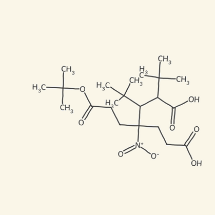 CC(C)(C)OC(=O)CCC(CCC(=O)O)(C(C(C(=O)O)C(C)(C)C)C(C)(C)C)[N+](=O)[O-]